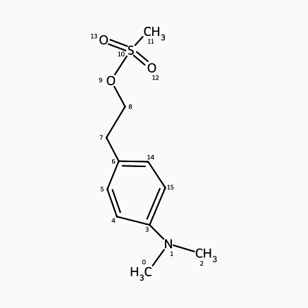 CN(C)c1ccc(CCOS(C)(=O)=O)cc1